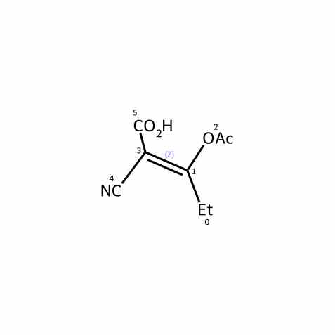 CC/C(OC(C)=O)=C(\C#N)C(=O)O